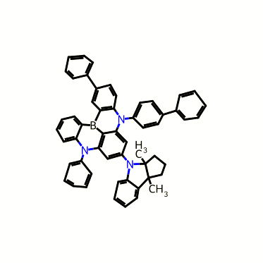 CC12CCCC1(C)N(c1cc3c4c(c1)N(c1ccc(-c5ccccc5)cc1)c1ccc(-c5ccccc5)cc1B4c1ccccc1N3c1ccccc1)c1ccccc12